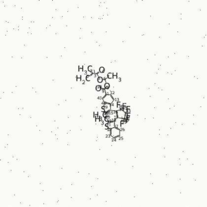 C=C(C)C(=O)OC(C)OC(=O)c1ccc2c(C3=C(c4c(C)sc5ccccc45)C(F)(F)C(F)(F)C3(F)F)c(C)sc2c1